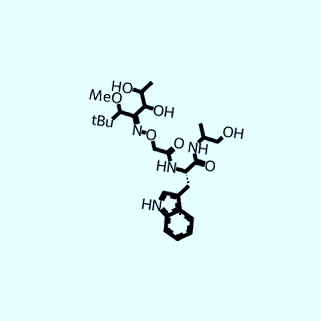 COC(/C(=N/OCC(=O)N[C@@H](Cc1c[nH]c2ccccc12)C(=O)NC(C)CO)C(O)C(C)O)C(C)(C)C